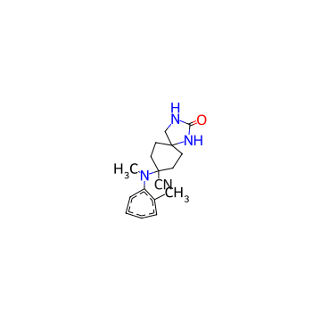 Cc1ccccc1N(C)C1(C#N)CCC2(CC1)CNC(=O)N2